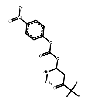 CNC(CC(=O)C(F)(F)F)OC(=O)Oc1ccc([N+](=O)[O-])cc1